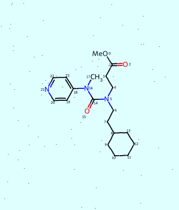 COC(=O)CCN(CCC1CCCCC1)C(=O)N(C)c1ccncc1